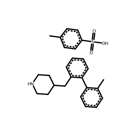 Cc1ccc(S(=O)(=O)O)cc1.Cc1ccccc1-c1ccccc1CC1CCNCC1